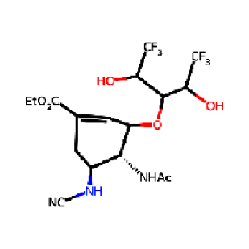 CCOC(=O)C1=C[C@@H](OC(C(O)C(F)(F)F)C(O)C(F)(F)F)[C@H](NC(C)=O)[C@@H](NC#N)C1